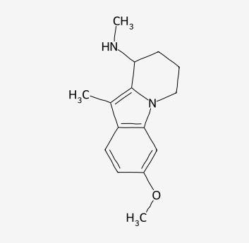 CNC1CCCn2c1c(C)c1ccc(OC)cc12